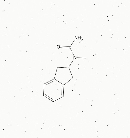 CN(C(N)=O)C1Cc2ccccc2C1